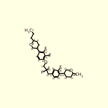 CCCC1CCC(c2ccc(OCC(F)(F)Cc3ccc(C4CCC(C)OC4)c(F)c3)c(F)c2F)CO1